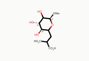 CO[C@H]1OC(CC(C(=O)O)C(=O)O)[C@@H](O)[C@H](O)C1O